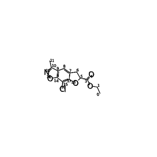 CCOC(=O)C1Cc2cc3c(C)noc3c(Cl)c2O1